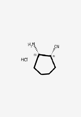 Cl.N#C[C@@H]1CCCC[C@@H]1N